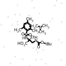 CC[C@@](CNC(=O)OC(C)(C)C)(NS(=O)(=O)c1c(C)cc(C)cc1C)C(=O)O.CN(C)C